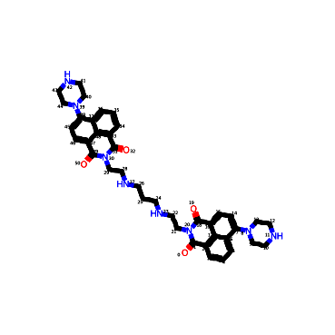 O=C1c2cccc3c(N4CCNCC4)ccc(c23)C(=O)N1CCNCCCNCCN1C(=O)c2cccc3c(N4CCNCC4)ccc(c23)C1=O